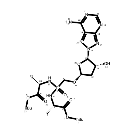 CCCCOC(=O)[C@H](C)NP(=O)(CO[C@@H]1C[C@@H](O)[C@H](n2nc3ncnc(N)c3n2)O1)N[C@@H](C)C(=O)OCCCC